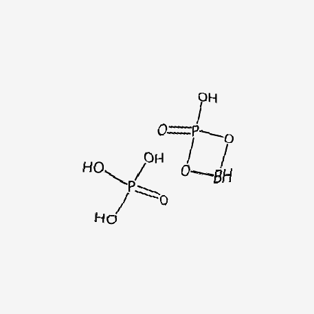 O=P(O)(O)O.O=P1(O)OBO1